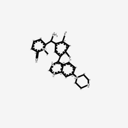 Cn1c(C(P)c2cc(-c3ncnc4cc(N5CCOCC5)ccc34)c(F)cc2F)cccc1=O